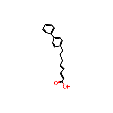 O=C(O)/C=C/C=C/CCCc1ccc(-c2ccccc2)cc1